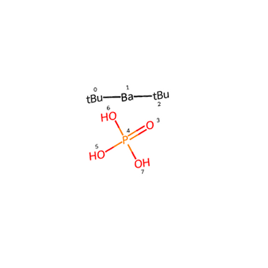 C[C](C)(C)[Ba][C](C)(C)C.O=P(O)(O)O